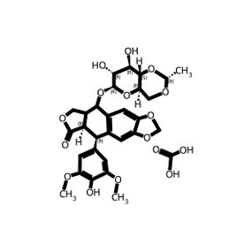 COc1cc([C@@H]2c3cc4c(cc3C(O[C@@H]3O[C@@H]5CO[C@@H](C)O[C@H]5[C@H](O)[C@H]3O)C3COC(=O)[C@@H]32)OCO4)cc(OC)c1O.O=C(O)O